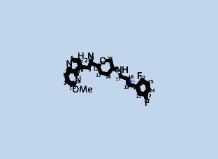 COc1ccc2nccc(CC(N)C3CCC(NC/C=C/c4cc(F)ccc4F)CO3)c2n1